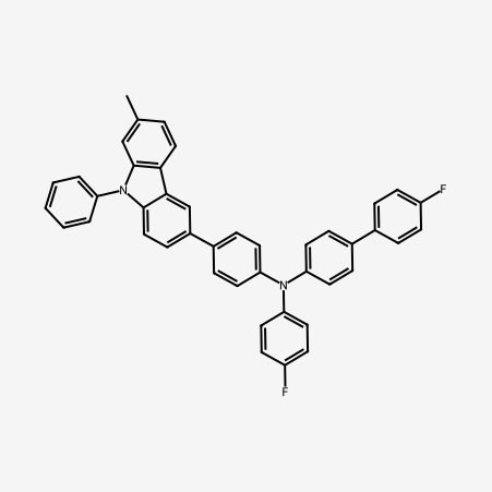 Cc1ccc2c3cc(-c4ccc(N(c5ccc(F)cc5)c5ccc(-c6ccc(F)cc6)cc5)cc4)ccc3n(-c3ccccc3)c2c1